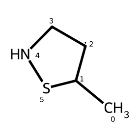 CC1[CH]CNS1